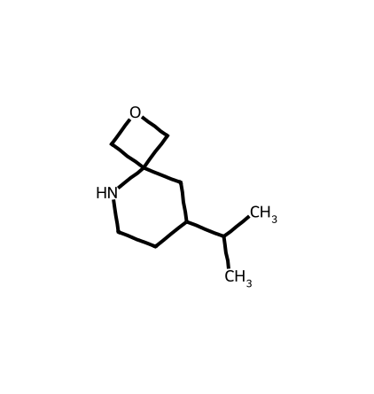 CC(C)C1CCNC2(COC2)C1